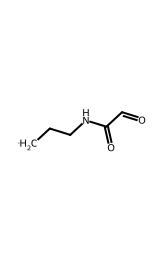 [CH2]CCNC(=O)C=O